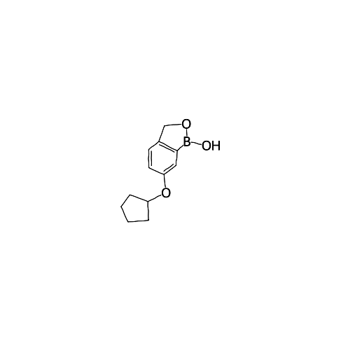 OB1OCc2ccc(OC3CCCC3)cc21